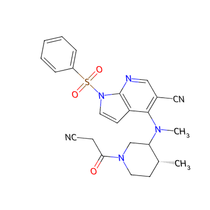 C[C@@H]1CCN(C(=O)CC#N)CC1N(C)c1c(C#N)cnc2c1ccn2S(=O)(=O)c1ccccc1